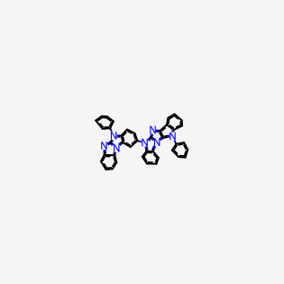 c1ccc(-n2c3ccc(-n4c5ccccc5n5c4nc4c6ccccc6n(-c6ccccc6)c45)cc3n3c4ccccc4nc23)cc1